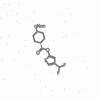 CCCCCCCCC[C@H]1CC[C@H](C(=O)Oc2cc(C(F)F)cs2)CC1